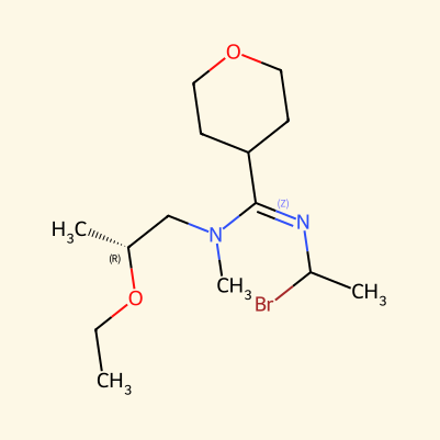 CCO[C@H](C)CN(C)/C(=N\C(C)Br)C1CCOCC1